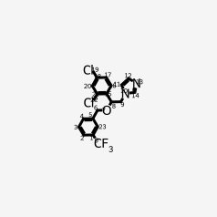 FC(F)(F)c1cccc(COC(Cn2ccnc2)c2ccc(Cl)cc2Cl)c1